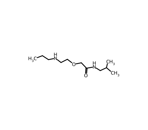 CCCNCCOCC(=O)NCC(C)C